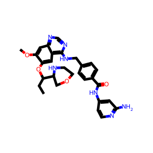 CCC(Oc1cc2c(NCc3ccc(C(=O)Nc4ccnc(N)c4)cc3)ncnc2cc1OC)C1COCCN1